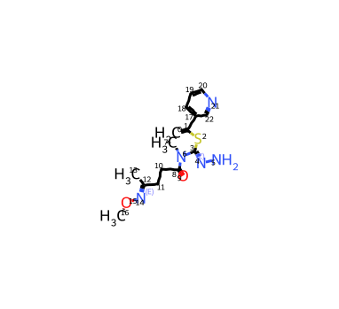 C=C(S/C(=N\N)N(C)C(=O)CC/C(C)=N/OC)c1cccnc1